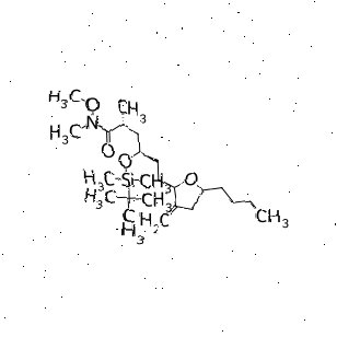 C=C1CC(CCCC)OC1CC[C@H](C[C@@H](C)C(=O)N(C)OC)O[Si](C)(C)C(C)(C)C